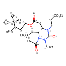 CCCCCCCCN(C(=O)N(CCC(=O)OCC)CCC(=O)OCC[CH](CCC)[Sn]([CH3])([CH3])[CH3])N(CCC(=O)OCC)C(=O)CC